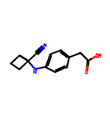 N#CC1(Nc2ccc(CC(=O)O)cc2)CCC1